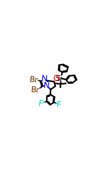 CC(C)(C)[Si](OC1CC(c2cc(F)cc(F)c2)n2c1nc(Br)c2Br)(c1ccccc1)c1ccccc1